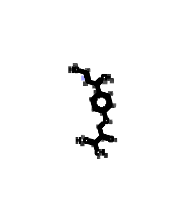 C=C(C)C(=O)COc1ccc(C(=C)/C=C/O)cc1